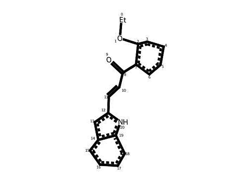 CCOc1ccccc1C(=O)/C=C/c1cc2ccccc2[nH]1